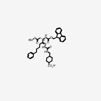 CC(C)(C)OC(=O)C[C@H](NC(=O)OCC1c2ccccc2-c2ccccc21)C(CCCCc1ccccc1)=NNC(=O)NCC1CCC(C(=O)O)CC1